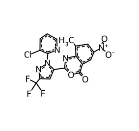 Cc1cc([N+](=O)[O-])cc2c(=O)oc(-c3cc(C(F)(F)F)nn3-c3ncccc3Cl)nc12